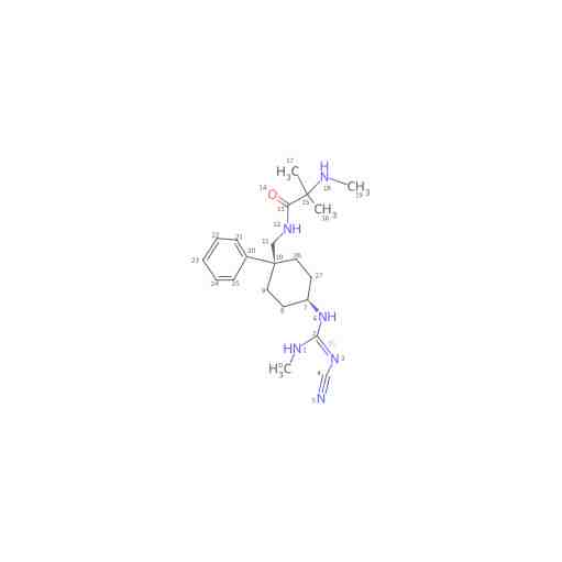 CN/C(=N\C#N)N[C@H]1CC[C@](CNC(=O)C(C)(C)NC)(c2ccccc2)CC1